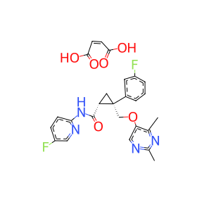 Cc1ncc(OC[C@@]2(c3cccc(F)c3)C[C@H]2C(=O)Nc2ccc(F)cn2)c(C)n1.O=C(O)/C=C\C(=O)O